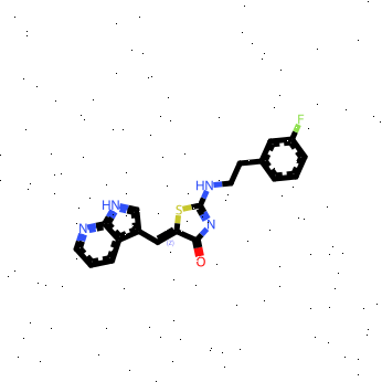 O=C1N=C(NCCc2cccc(F)c2)S/C1=C\c1c[nH]c2ncccc12